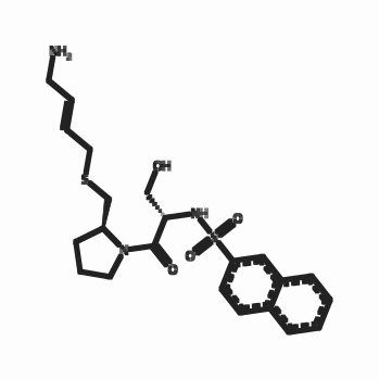 NC/C=C/CSC[C@@H]1CCCN1C(=O)[C@H](CO)NS(=O)(=O)c1ccc2ccccc2c1